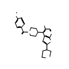 O=C(c1ccc(OC(F)(F)F)cc1)N1CCC(c2c(F)cnc3[nH]c(C4CCNCC4)cc23)CC1